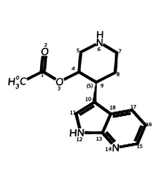 CC(=O)OC1CNCC[C@H]1c1c[nH]c2ncccc12